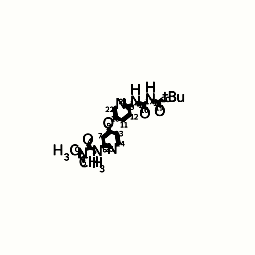 CN(C)C(=O)Nc1cc(Oc2ccc(NC(=O)NC(=O)C(C)(C)C)nc2)ccn1